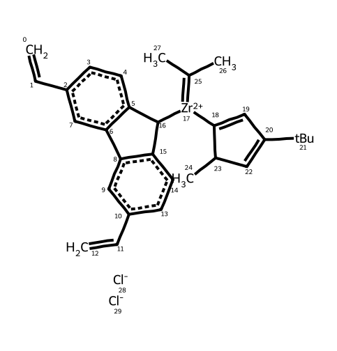 C=Cc1ccc2c(c1)-c1cc(C=C)ccc1[CH]2[Zr+2]([C]1=CC(C(C)(C)C)=CC1C)=[C](C)C.[Cl-].[Cl-]